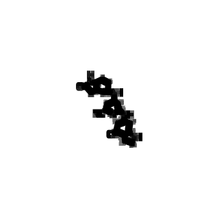 N#Cc1cc(Nc2ccc3c(c2)CC(=O)N3)cc(Nc2cc(Cl)c3cc[nH]c3c2)n1